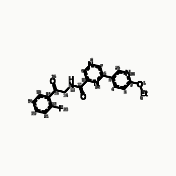 CCOc1ccc(-c2cncc(C(=O)NCC(=O)c3ccccc3F)n2)cn1